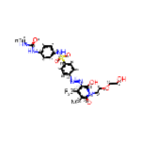 CCCCNC(=O)Nc1ccc(NS(=O)(=O)c2ccc(/N=N/c3c(C(F)(F)F)c(C#N)c(=O)n(CCOCCO)c3O)cc2)cc1